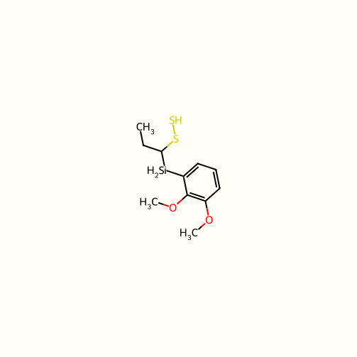 CCC([SiH2]c1cccc(OC)c1OC)SS